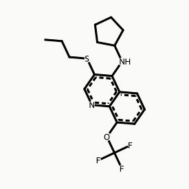 CCCSc1cnc2c(OC(F)(F)F)cccc2c1NC1CCCC1